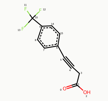 O=C(O)CC#Cc1ccc(C(F)(F)F)cc1